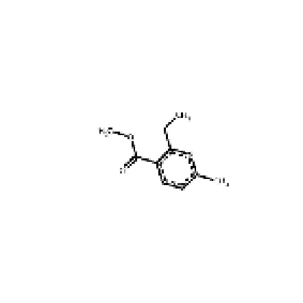 CCc1nc(C)ccc1C(=O)OC